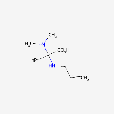 C=CCNC(CCC)(C(=O)O)N(C)C